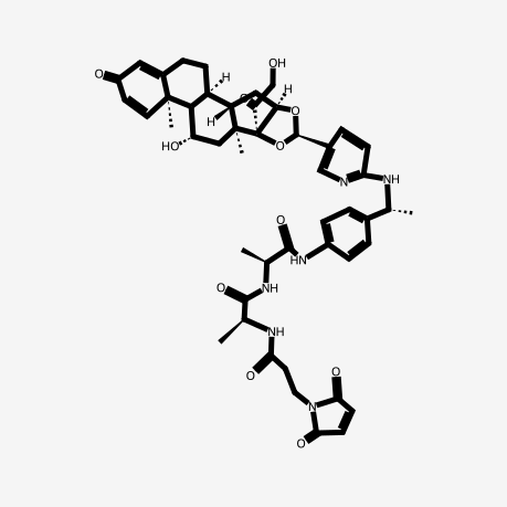 C[C@H](NC(=O)CCN1C(=O)C=CC1=O)C(=O)N[C@@H](C)C(=O)Nc1ccc([C@@H](C)Nc2ccc([C@@H]3O[C@@H]4C[C@H]5[C@@H]6CCC7=CC(=O)C=C[C@]7(C)C6[C@@H](O)C[C@]5(C)[C@]4(C(=O)CO)O3)cn2)cc1